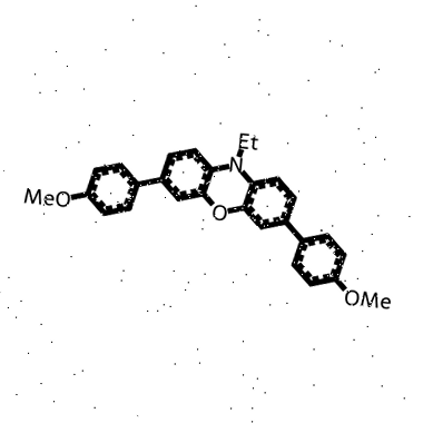 CCN1c2ccc(-c3ccc(OC)cc3)cc2Oc2cc(-c3ccc(OC)cc3)ccc21